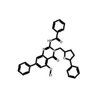 CCOc1cc(-c2ccccc2)cc2nc(NC(=O)c3ccccc3)n(CC3CCC(c4ccccc4)O3)c(=O)c12